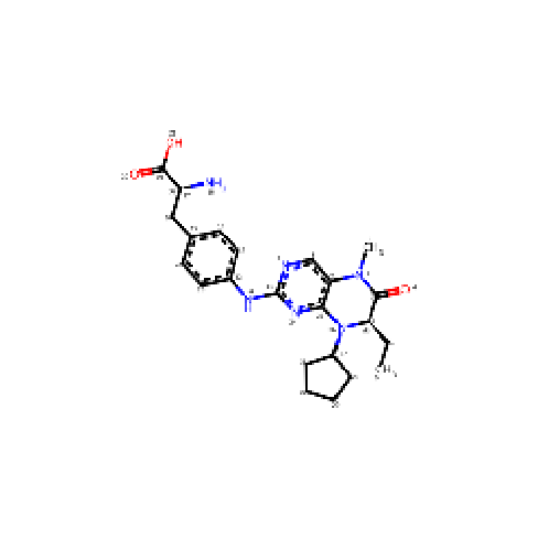 CC[C@@H]1C(=O)N(C)c2cnc(Nc3ccc(C[C@H](N)C(=O)O)cc3)nc2N1C1CCCC1